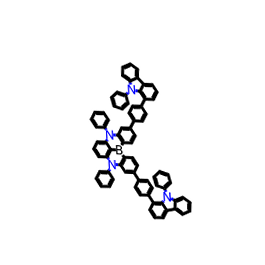 c1ccc(N2c3cc(-c4ccc(-c5cccc6c7ccccc7n(-c7ccccc7)c56)cc4)ccc3B3c4ccc(-c5ccc(-c6cccc7c8ccccc8n(-c8ccccc8)c67)cc5)cc4N(c4ccccc4)c4cccc2c43)cc1